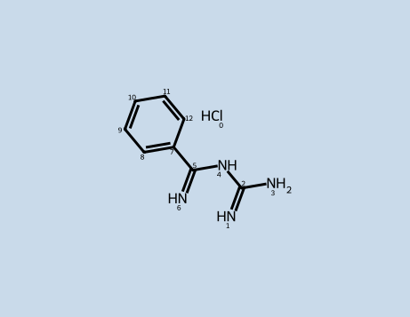 Cl.N=C(N)NC(=N)c1ccccc1